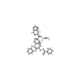 NCC[C@H](NC(=O)[C@@H]1Cc2ccccc2CN1C(=O)CCC(=O)c1ccccc1)C(=O)Nc1ccc2scnc2c1